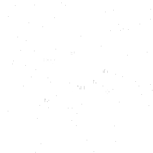 CCC(CC(=O)O)c1ccc(N2CCOCC2C(C)C)c(Nc2ccc(C#N)cc2)c1